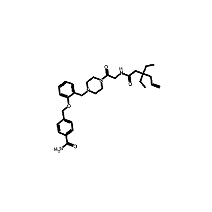 C=CCC(CC)(CC)CC(=O)NCC(=O)N1CCN(Cc2ccccc2OCc2ccc(C(N)=O)cc2)CC1